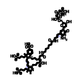 CC1=NN(CCCS(=O)(=O)O)/C(=C\C=C\C2=[N+](CCCCCC(=O)NCCCCCC(=O)NC/C=C/c3cn([C@H]4C[C@@H](O)[C@@H](COP(=O)(O)OP(=O)(O)OP(=O)(O)O)O4)c(=O)nc3N)c3ccc(S(=O)(=O)O)cc3C2(C)CCCS(=O)(=O)O)C1(C)CCCS(=O)(=O)O